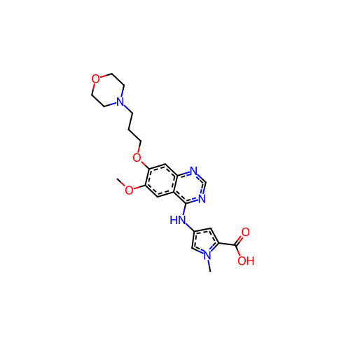 COc1cc2c(Nc3cc(C(=O)O)n(C)c3)ncnc2cc1OCCCN1CCOCC1